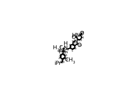 C=C(NCc1ccc2c(c1)CN(C1CCC(=O)NC1=O)C2=O)C(F)(F)c1ccc(CC(C)C)c(C)c1